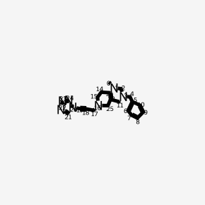 CN1CN(Cc2ccccc2)CC2=C1CCN(CC#Cn1cnnn1)C2